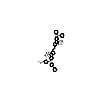 Cc1ccc(N(c2ccc(-c3ccccc3)cc2)c2ccc3c(c2)C(C)(C)c2cc(/C=C/c4ccc5c(c4)C(C)(C)c4cc(N(c6ccccc6)c6ccccc6)ccc4-5)ccc2-3)cc1